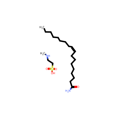 CCCCCCCC/C=C\CCCCCCCC(N)=O.CNCCS(=O)(=O)O